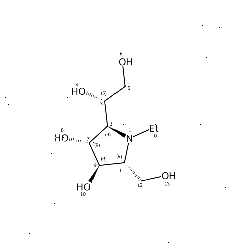 CCN1[C@H]([C@H](O)CO)[C@@H](O)[C@H](O)[C@H]1CO